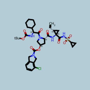 C=C[C@@H]1C[C@]1(NC(=O)[C@@H]1C[C@@H](OC(=O)N2Cc3cccc(Cl)c3C2)CN1C(=O)[C@@H](NC(=O)OC(C)(C)C)C1CCCCC1)C(=O)NS(=O)(=O)C1CC1